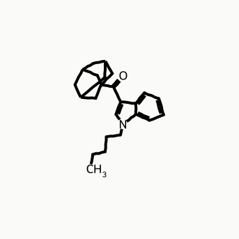 CCCCCn1cc(C(=O)C23CC4CC(CC(C4)C2)C3)c2ccccc21